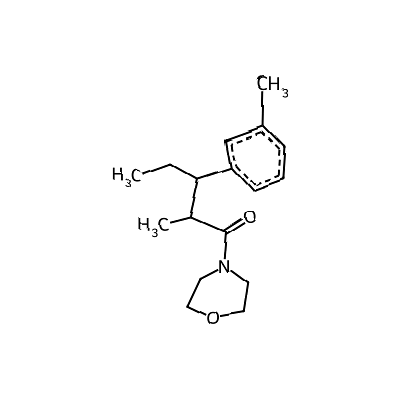 CCC(c1cccc(C)c1)C(C)C(=O)N1CCOCC1